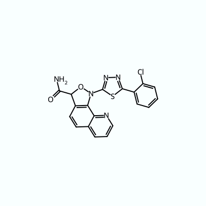 NC(=O)C1ON(c2nnc(-c3ccccc3Cl)s2)c2c1ccc1cccnc21